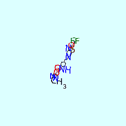 Cc1ncc(OCC(=O)N[C@H]2CC[C@H](CCN3CCc4nc(OCC(F)F)sc4CC3)CC2)cn1